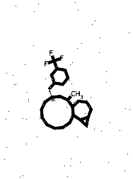 CC1C[C@@H](CC2CCCC(C(F)(F)F)C2)CCCCCCCC2C1CCCC1CC12